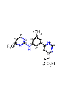 CCOC(=O)CCc1cc(-c2cc(C)cc(Nc3nccc(C(F)(F)F)n3)c2)ncn1